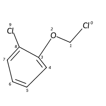 ClCOc1ccccc1Cl